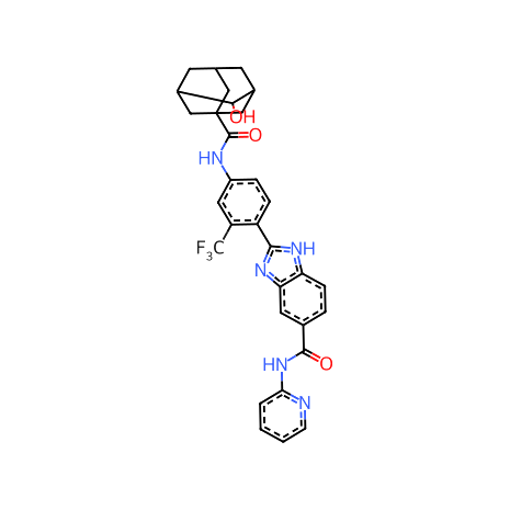 O=C(Nc1ccccn1)c1ccc2[nH]c(-c3ccc(NC(=O)C45CC6CC(C4)C(O)C(C6)C5)cc3C(F)(F)F)nc2c1